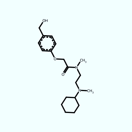 CN(CCN(C)C1CC[CH]CC1)C(=O)COc1ccc(CO)cc1